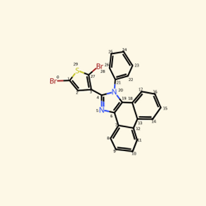 Brc1cc(-c2nc3c4ccccc4c4ccccc4c3n2-c2ccccc2)c(Br)s1